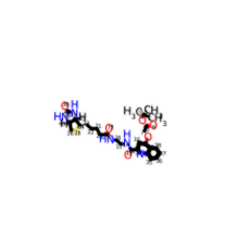 CC(C)(C)OC(=O)COc1cc(C(=O)NCCNC(=O)CCCC[C@@H]2SC[C@@H]3NC(=O)N[C@@H]32)nc2ccccc12